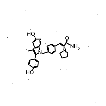 Cc1c(-c2ccc(O)cc2)n(Cc2ccc(C=C(C(N)=O)N3CCCC3)cc2)c2ccc(O)cc12